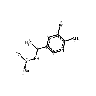 Cc1ncc(C(C)N[S@+]([O-])C(C)(C)C)cc1Br